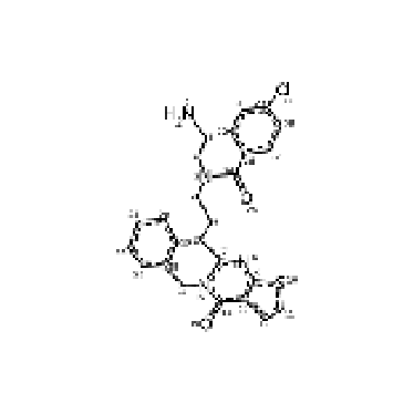 NCCN(CCCc1nc2sccc2c(=O)n1Cc1ccccc1)C(=O)c1ccc(Cl)cc1